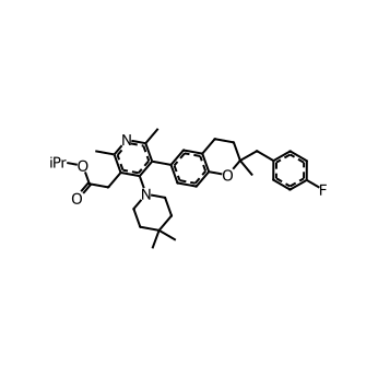 Cc1nc(C)c(-c2ccc3c(c2)CCC(C)(Cc2ccc(F)cc2)O3)c(N2CCC(C)(C)CC2)c1CC(=O)OC(C)C